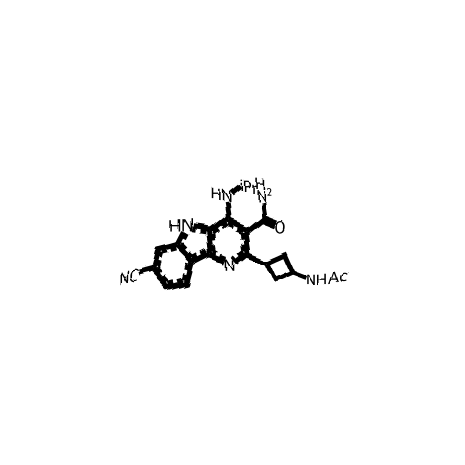 CC(=O)NC1CC(c2nc3c([nH]c4cc(C#N)ccc43)c(NC(C)C)c2C(N)=O)C1